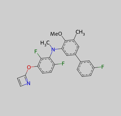 COc1c(C)cc(-c2cccc(F)c2)cc1N(C)c1c(F)ccc(OC2=NC=C2)c1F